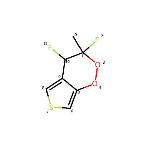 CC1(F)OOc2cscc2C1F